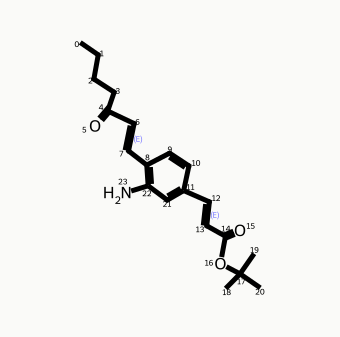 CCCCC(=O)/C=C/c1ccc(/C=C/C(=O)OC(C)(C)C)cc1N